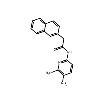 Nc1nc(NC(=O)Cc2ccc3ccccc3c2)ccc1[N+](=O)[O-]